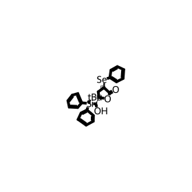 CC(C)(C)[Si](c1ccccc1)(c1ccccc1)C(O)[C@@H]1C[C@@H]([Se]c2ccccc2)C(=O)O1